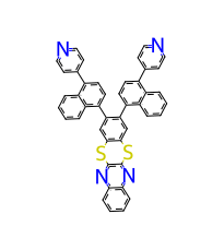 c1ccc2nc3c(nc2c1)Sc1cc(-c2ccc(-c4ccncc4)c4ccccc24)c(-c2ccc(-c4ccncc4)c4ccccc24)cc1S3